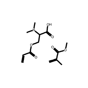 C=C(C)C(=O)OC.C=CC(=O)OCC(C(=O)O)N(C)C